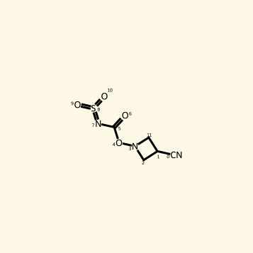 N#CC1CN(OC(=O)N=S(=O)=O)C1